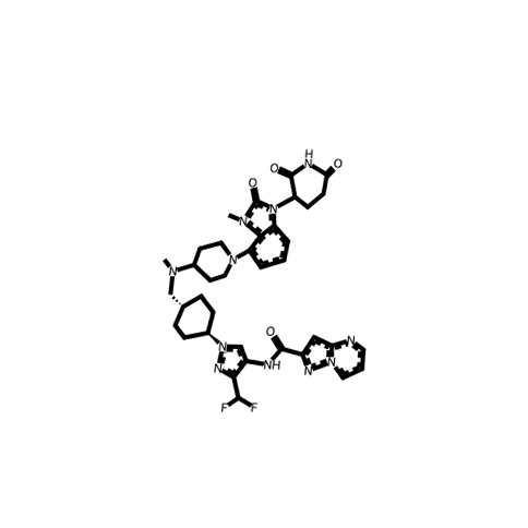 CN(C[C@H]1CC[C@H](n2cc(NC(=O)c3cc4ncccn4n3)c(C(F)F)n2)CC1)C1CCN(c2cccc3c2n(C)c(=O)n3C2CCC(=O)NC2=O)CC1